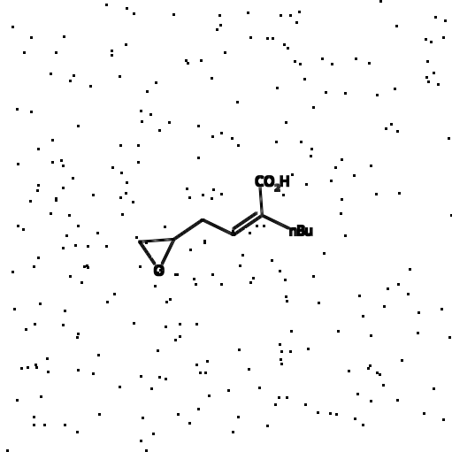 CCCCC(=CCC1CO1)C(=O)O